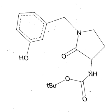 CC(C)(C)OC(=O)NC1CCN(Cc2cccc(O)c2)C1=O